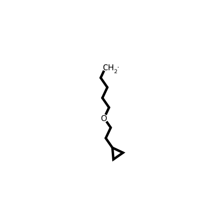 [CH2]CCCCOCCC1CC1